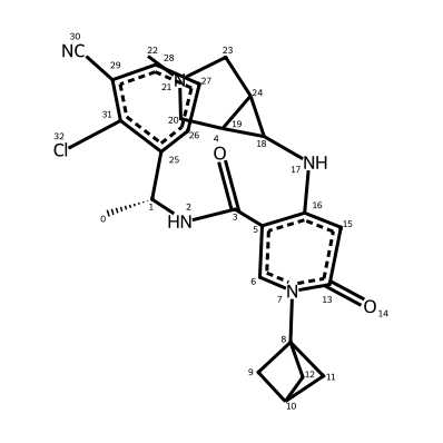 C[C@@H](NC(=O)c1cn(C23CC(C2)C3)c(=O)cc1NC1C2CN(C)CC21)c1cccc(C#N)c1Cl